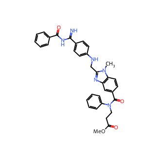 COC(=O)CCN(C(=O)c1ccc2c(c1)nc(CNc1ccc(C(=N)NC(=O)c3ccccc3)cc1)n2C)c1ccccc1